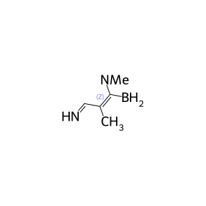 B/C(NC)=C(\C)C=N